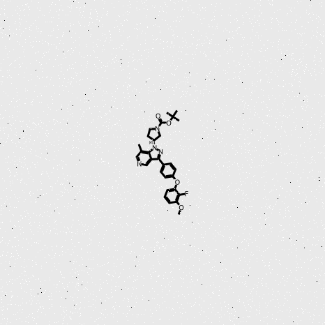 COc1cccc(Oc2ccc(-c3nn([C@@H]4CCN(C(=O)OC(C)(C)C)C4)c4c(C)cncc34)cc2)c1F